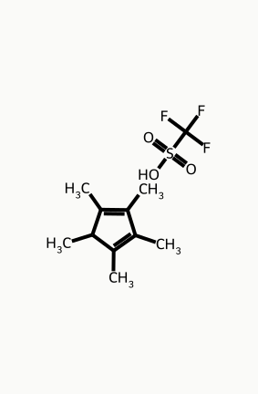 CC1=C(C)C(C)C(C)=C1C.O=S(=O)(O)C(F)(F)F